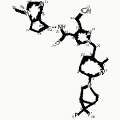 Cc1nc(N2CC3C(C2)C3(F)F)ccc1Cn1cc(C(=O)N[C@@H]2CCc3c2ncn3C)c(CO)n1